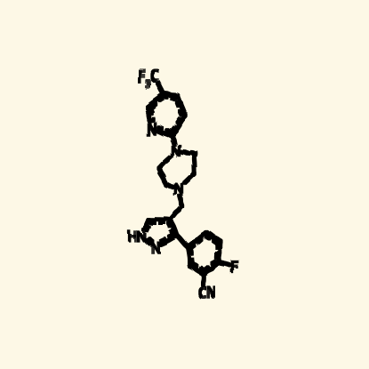 N#Cc1cc(-c2n[nH]cc2CN2CCN(c3ccc(C(F)(F)F)cn3)CC2)ccc1F